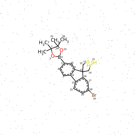 CC1(C)OB(c2ccc3c(c2)C(CS)(CS)c2cc(Br)ccc2-3)OC1(C)C